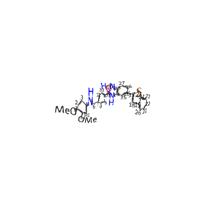 COc1ccc(NCc2ccc(C(=O)Nc3cc(-c4cc5ccccc5s4)ccc3N)cc2)cc1OC